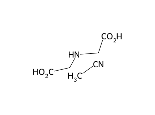 CC#N.O=C(O)CNCC(=O)O